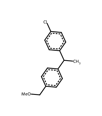 COCc1ccc(C(C)c2ccc(Cl)cc2)cc1